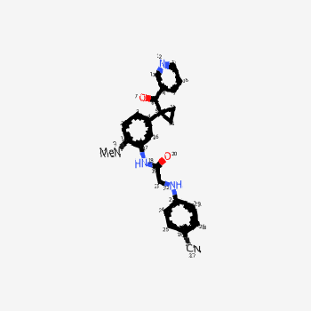 CNc1ccc(C2(C(=O)c3cccnc3)CC2)cc1NC(=O)CNc1ccc(C#N)cc1